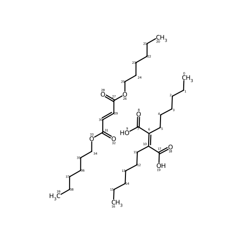 CCCCCCC(C(=O)O)=C(CCCCCC)C(=O)O.CCCCCCOC(=O)/C=C/C(=O)OCCCCCC